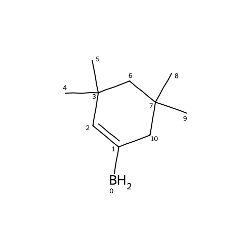 BC1=CC(C)(C)CC(C)(C)C1